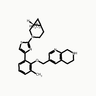 Cc1cccc(-c2csc(N3CC[C@@]4(C(=O)O)C[C@H]4C3)n2)c1OCc1cnc2c(c1)CCNC2